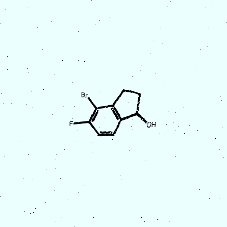 OC1CCc2c1ccc(F)c2Br